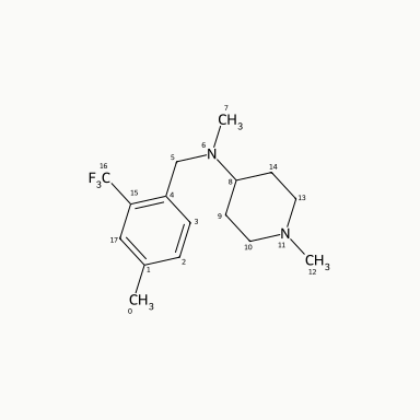 Cc1ccc(CN(C)C2CCN(C)CC2)c(C(F)(F)F)c1